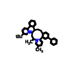 C=C1CC2C(CCc3ccc(-c4ccccc4)cc3-c3ccc(C)c[n+]31)c1ccccc1-c1ccc(C(C)(C)C)c[n+]12